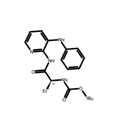 CC[C@H](NC(=O)OC(C)(C)C)C(=O)Nc1ncccc1Nc1ccccc1